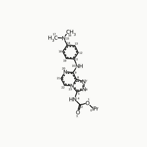 CC(C)OC(=O)Nc1nnc2c(Nc3ccc(N(C)C)cc3)nccn12